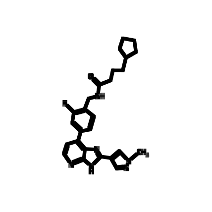 Cn1cc(-c2nc3c(-c4ccc(CNC(=O)CCCC5CCCC5)c(F)c4)ccnc3[nH]2)cn1